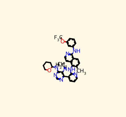 C=Nc1c(-c2cccnc2Nc2c(C)ccc3c(Nc4cccc(OC(F)(F)F)c4)nccc23)ncnc1N(C)C1CCCCO1